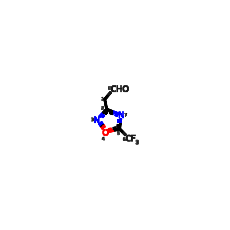 O=CCc1noc(C(F)(F)F)n1